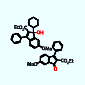 CCOC(=O)C1=C(c2ccccc2)c2ccc(OC)cc2C1(O)C1CCCCC1.CCOC(=O)C1=C(c2ccccc2)c2ccc(OC)cc2C1=O